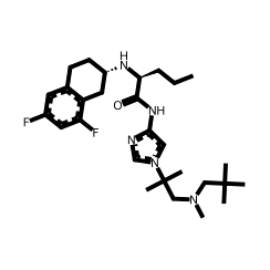 CCC[C@H](N[C@H]1CCc2cc(F)cc(F)c2C1)C(=O)Nc1cn(C(C)(C)CN(C)CC(C)(C)C)cn1